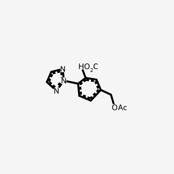 CC(=O)OCc1ccc(-n2nccn2)c(C(=O)O)c1